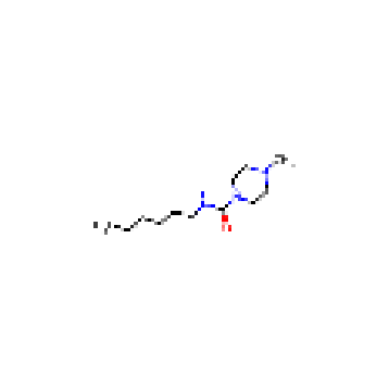 CCCCCCNC(=O)N1CCN(C)CC1